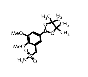 COc1cc(B2OC(C)(C)C(C)(C)O2)cc(CS(N)(=O)=O)c1OC